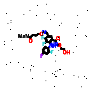 CNC(=O)CCCO/N=C\c1cc(C(=O)NOCCO)c(Nc2ccc(I)cc2F)c(F)c1F